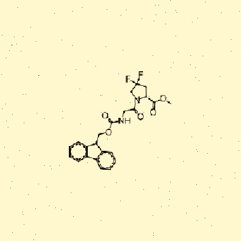 COC(=O)[C@@H]1CC(F)(F)CN1C(=O)CNC(=O)OCC1c2ccccc2-c2ccccc21